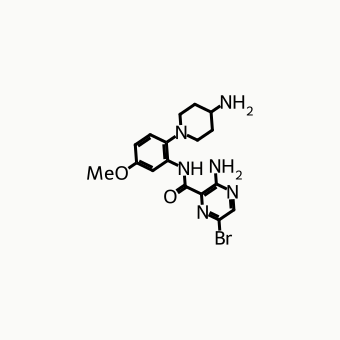 COc1ccc(N2CCC(N)CC2)c(NC(=O)c2nc(Br)cnc2N)c1